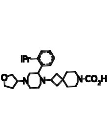 CC(C)c1ccccc1C1CN(C2CCOC2)CCN1C1CC2(CCN(C(=O)O)CC2)C1